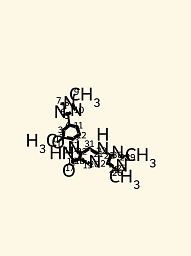 COc1cc(-c2ncn(C)n2)ccc1-n1[nH]c(=O)c2cnc(Nc3cc(C)nc(C)n3)cc21